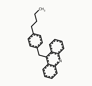 CCCCc1ccc(Cc2c3ccccc3nc3ccccc23)cc1